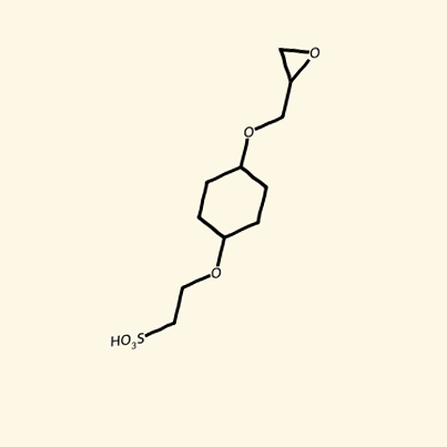 O=S(=O)(O)CCOC1CCC(OCC2CO2)CC1